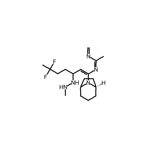 C=N/C(C)=N\C(=C\C(CCC(C)(F)F)NNC)N1C2CCC[C@@H]1CC2